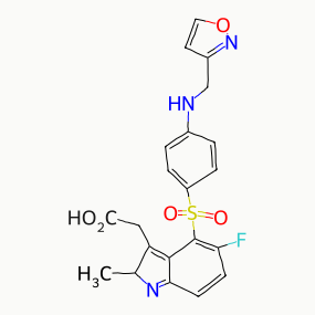 CC1N=c2ccc(F)c(S(=O)(=O)c3ccc(NCc4ccon4)cc3)c2=C1CC(=O)O